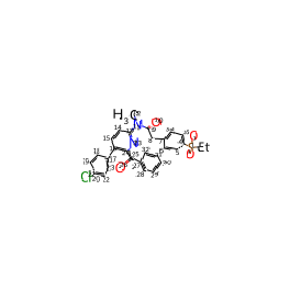 CCS(=O)(=O)c1ccc(CC(=O)N(C)c2ccc(-c3ccc(Cl)cc3)c(C(=O)c3ccccc3)n2)cc1